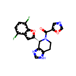 O=C(c1cnco1)N1CCc2[nH]cnc2[C@@H]1c1cc2c(F)ccc(F)c2o1